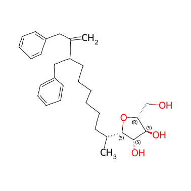 C=C(Cc1ccccc1)C(CCCCCCC(C)[C@@H]1O[C@H](CO)[C@@H](O)[C@@H]1O)Cc1ccccc1